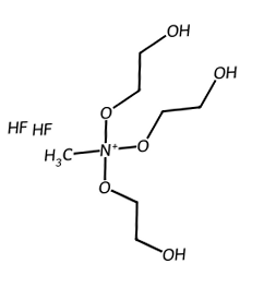 C[N+](OCCO)(OCCO)OCCO.F.F